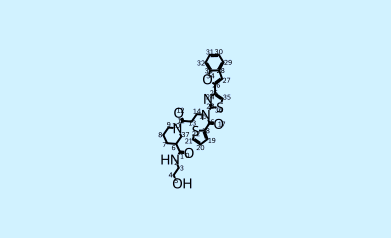 O=C(NCCO)C1CCCN(C(=O)CCN(C(=O)c2cccs2)c2nc(-c3cc4ccccc4o3)cs2)C1